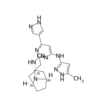 Cc1cc(Nc2cc(-c3cn[nH]c3)nc(N[C@@H]3C[C@H]4CC[C@@H](C3)N4CCC#N)n2)n[nH]1